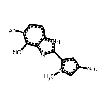 CC(=O)c1ccc2[nH]c(-c3cc(N)cn3C)nc2c1O